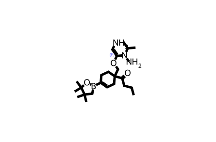 CCCC(=O)C1(CO/C(=C/N)N(N)C(C)C)CC=C(B2CC(C)(C)C(C)(C)O2)CC1